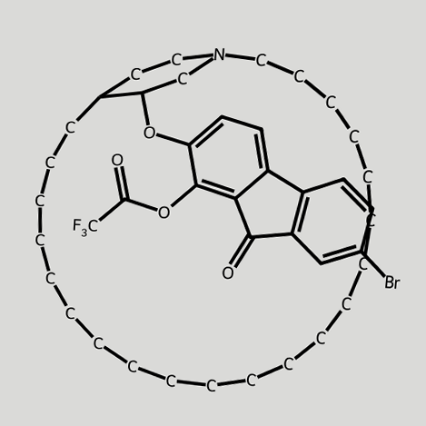 O=C1c2cc(Br)ccc2-c2ccc(OC3CN4CCCCCCCCCCCCCCCCCCCCCC3CC4)c(OC(=O)C(F)(F)F)c21